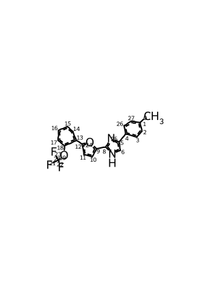 Cc1ccc(-c2c[nH]c(-c3ccc(-c4ccccc4OC(F)(F)F)o3)n2)cc1